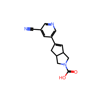 N#Cc1cncc(C2=CC3CN(C(=O)O)CC3C2)c1